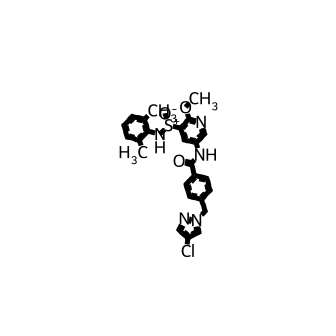 COc1ncc(NC(=O)c2ccc(Cn3cc(Cl)cn3)cc2)cc1[S+]([O-])Nc1c(C)cccc1C